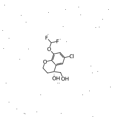 OC[C@@]1(O)CCOc2c(OC(F)F)cc(Cl)cc21